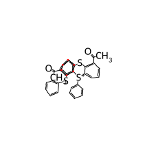 CC(=O)c1cccc([S+](c2ccccc2)c2cccc(C(C)=O)c2Sc2ccccc2)c1Sc1ccccc1